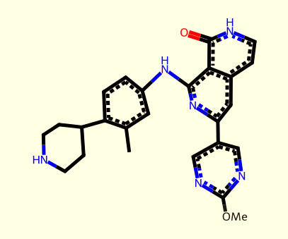 COc1ncc(-c2cc3cc[nH]c(=O)c3c(Nc3ccc(C4CCNCC4)c(C)c3)n2)cn1